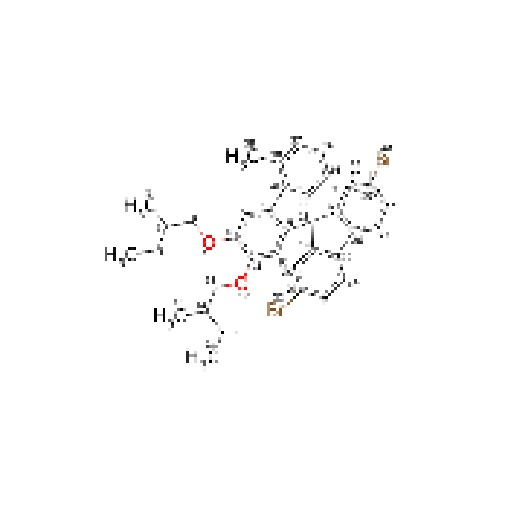 CCC(C)COc1cc2c(cc1OCC(C)CC)C1(c3cc(Br)ccc3-c3ccc(Br)cc31)c1c(C)ccc(C)c1-2